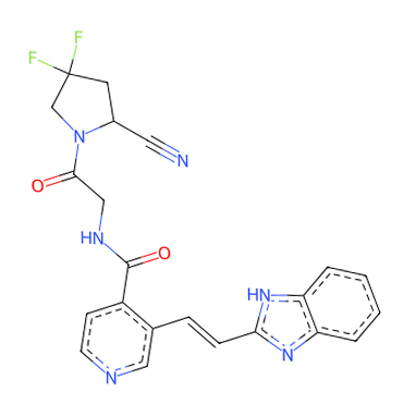 N#CC1CC(F)(F)CN1C(=O)CNC(=O)c1ccncc1C=Cc1nc2ccccc2[nH]1